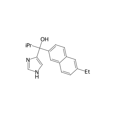 CCc1ccc2cc(C(O)(c3c[nH]cn3)C(C)C)ccc2c1